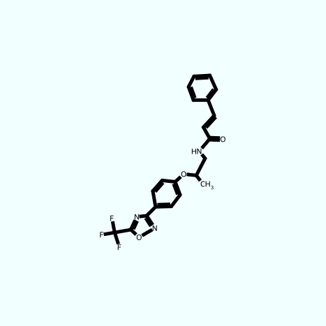 CC(CNC(=O)/C=C/c1ccccc1)Oc1ccc(-c2noc(C(F)(F)F)n2)cc1